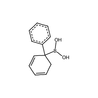 OB(O)C1(c2ccccc2)C=CC=CC1